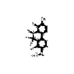 CCCc1ccc2c(c1F)P(F)C(F)(F)c1c-2ccc(OC=O)c1F